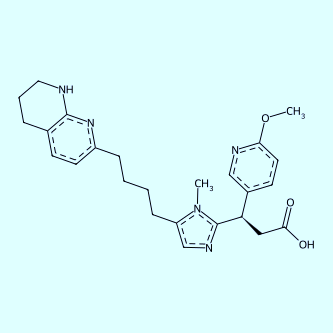 COc1ccc([C@@H](CC(=O)O)c2ncc(CCCCc3ccc4c(n3)NCCC4)n2C)cn1